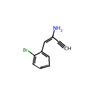 C#C/C(N)=C\c1ccccc1Br